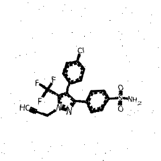 C#CCn1nc(-c2ccc(S(N)(=O)=O)cc2)c(-c2ccc(Cl)cc2)c1C(F)(F)F